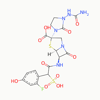 NC(=O)NN1CCN([C@]2(C(=O)O)CN3C(=O)[C@@H](NC(=O)C(c4ccc(O)cc4F)S(=O)(=O)O)[C@H]3S2)C1=O